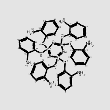 Nc1ccccc1OP1(Oc2ccccc2N)=NP(Oc2ccccc2N)(Oc2ccccc2N)=NP(Oc2ccccc2N)(Oc2ccccc2N)=N1